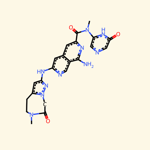 CN1CCc2cc(Nc3cc4cc(C(=O)N(C)c5cncc(=O)[nH]5)nc(N)c4cn3)nn2CC1=O